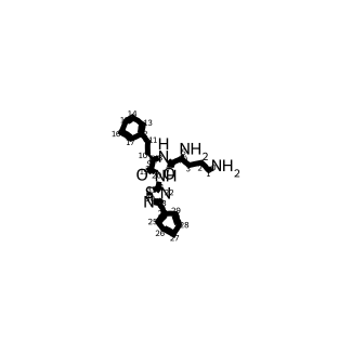 NCCC[C@H](N)C(=O)N[C@H](CCc1ccccc1)C(=O)Nc1nc(-c2ccccc2)ns1